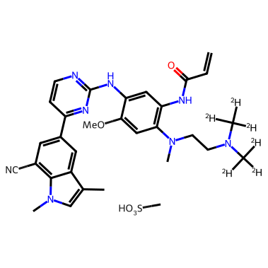 CS(=O)(=O)O.[2H]C([2H])([2H])N(CCN(C)c1cc(OC)c(Nc2nccc(-c3cc(C#N)c4c(c3)c(C)cn4C)n2)cc1NC(=O)C=C)C([2H])([2H])[2H]